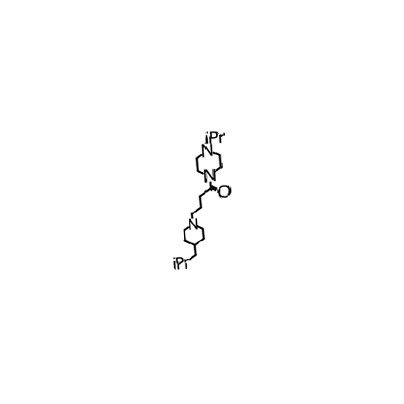 CC(C)CC1CCN(CCCC(=O)N2CCN(C(C)C)CC2)CC1